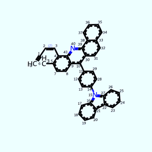 C#C/C=C\c1c(C)ccc2c(-c3ccc(-n4c5ccccc5c5ccccc54)cc3)c3ccc4ccccc4c3nc12